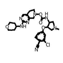 CN1CC(NC(=O)ON2CCc3cnc(NC4CCOCC4)nc3C2)C(Oc2ccc(C#N)c(Cl)c2)C1